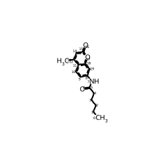 CCCCCC(=O)Nc1ccc2c(C)cc(=O)oc2c1